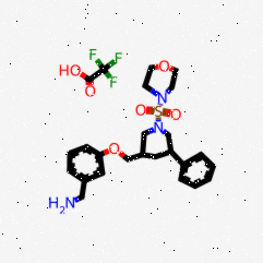 NCc1cccc(OCC2CC(c3ccccc3)CN(S(=O)(=O)N3CCOCC3)C2)c1.O=C(O)C(F)(F)F